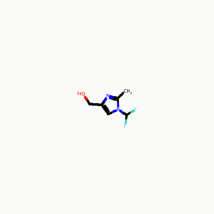 Cc1nc(CO)cn1C(F)F